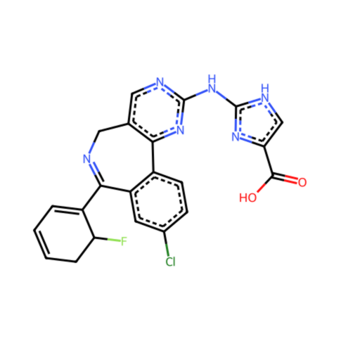 O=C(O)c1c[nH]c(Nc2ncc3c(n2)-c2ccc(Cl)cc2C(C2=CC=CCC2F)=NC3)n1